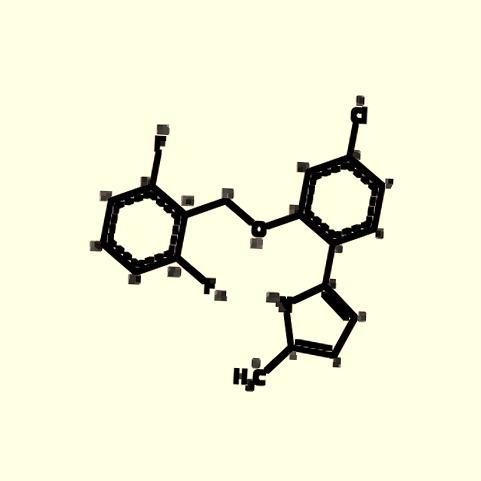 CC1=CC=C(c2ccc(Cl)cc2OCc2c(F)cccc2F)[N]1